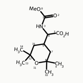 COC(=O)NC(C(=O)O)C1CC(C)(C)OC(C)(C)C1